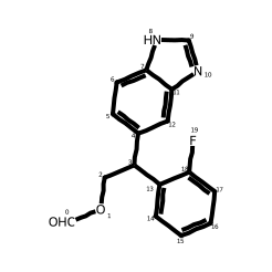 O=COCC(c1ccc2[nH]cnc2c1)c1ccccc1F